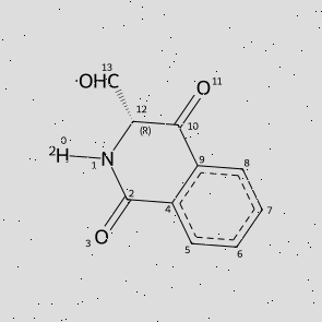 [2H]N1C(=O)c2ccccc2C(=O)[C@H]1[C]=O